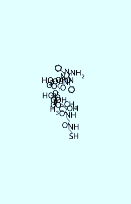 CC(C)(COP(=O)(O)OP(=O)(O)OC[C@H]1O[C@@H](n2c(-c3ccccc3)nc3c(N)nc(-c4ccccc4)nc32)[C@H](O)[C@@H]1OP(=O)(O)O)[C@@H](O)C(=O)NCCC(=O)NCCS